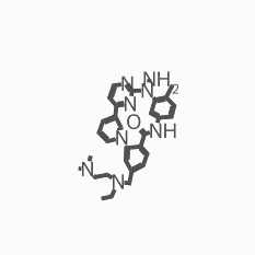 CCN(CCN(C)C)Cc1ccc(C(=O)Nc2ccc(C)c(N(N)c3nccc(-c4cccnc4)n3)c2)cc1